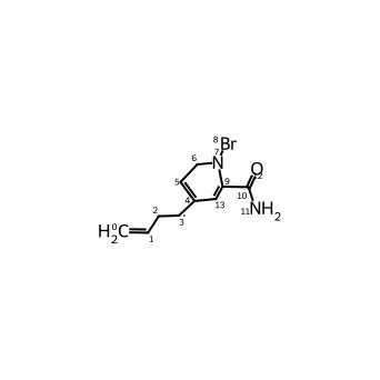 C=CC[CH]C1=CCN(Br)C(C(N)=O)=C1